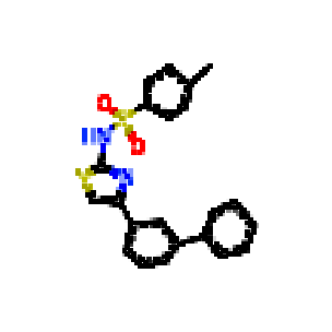 Cc1ccc(S(=O)(=O)Nc2nc(-c3cccc(-c4ccccc4)c3)cs2)cc1